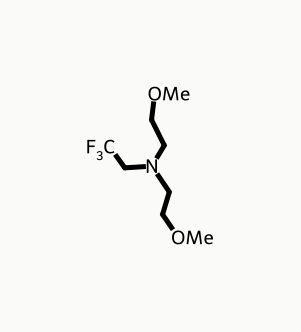 COCCN(CCOC)CC(F)(F)F